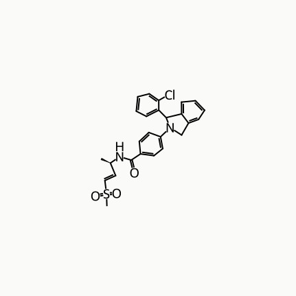 C[C@H](/C=C/S(C)(=O)=O)NC(=O)c1ccc(N2Cc3ccccc3C2c2ccccc2Cl)cc1